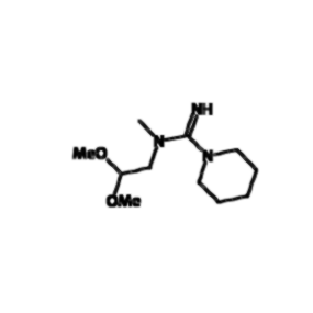 COC(CN(C)C(=N)N1CCCCC1)OC